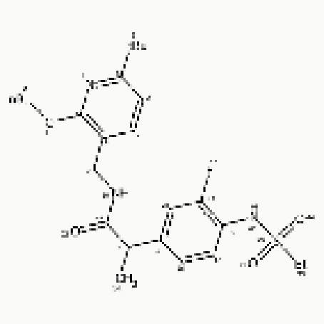 CCCCOc1nc(C(C)(C)C)ccc1CNC(=O)C(C)c1ccc(NS(=O)(=O)CC)c(F)c1